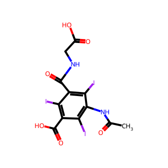 CC(=O)Nc1c(I)c(C(=O)O)c(I)c(C(=O)NCC(=O)O)c1I